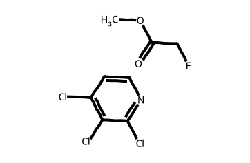 COC(=O)CF.Clc1ccnc(Cl)c1Cl